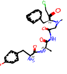 C[C@@H](NC(=O)[C@@H](N)Cc1ccc(O)cc1)C(=O)NC(=O)CN(C)[C@@H](Cc1ccccc1)C(=O)CCl